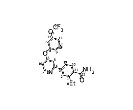 CCc1cc(-c2cc(Oc3cncc(OC(F)(F)F)c3)ccn2)ccc1C(N)=O